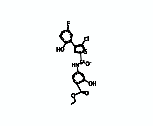 CCOC(=O)c1ccc(N[S+]([O-])c2cc(-c3cc(F)ccc3O)c(Cl)s2)cc1O